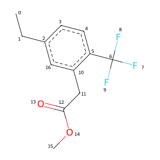 CCc1ccc(C(F)(F)F)c(CC(=O)OC)c1